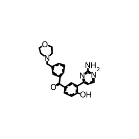 Nc1nccc(-c2cc(C(=O)c3cccc(CN4CCOCC4)c3)ccc2O)n1